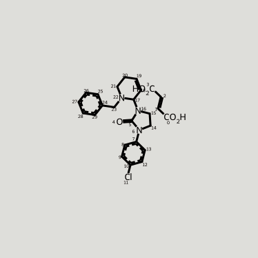 O=C(O)C=CC(=O)O.O=C1N(c2ccc(Cl)cc2)CCN1C1C=CCCN1Cc1ccccc1